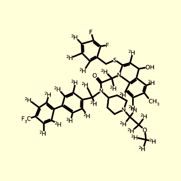 [2H]C1=C(SCc2c([2H])c([2H])c([2H])c(F)c2F)N(C([2H])([2H])C(=O)N(C2CCN(C([2H])([2H])C([2H])([2H])OC([2H])([2H])[2H])CC2)C([2H])([2H])c2c([2H])c([2H])c(-c3c([2H])c([2H])c(C(F)(F)F)c([2H])c3[2H])c([2H])c2[2H])c2c([2H])c([2H])c(C)c([2H])c2C1O